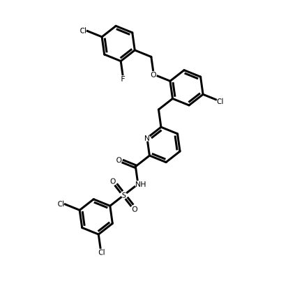 O=C(NS(=O)(=O)c1cc(Cl)cc(Cl)c1)c1cccc(Cc2cc(Cl)ccc2OCc2ccc(Cl)cc2F)n1